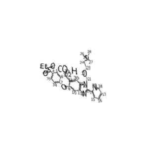 CCS(=O)(=O)c1ccc(Oc2cc3nc(-c4ccccn4)n(COCC[Si](C)(C)C)c3cc2CC(=O)O)cc1